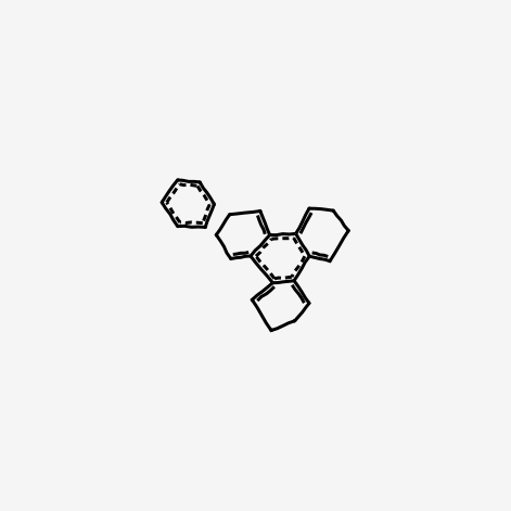 C1=c2c3c(c4c(c2=CCC1)=CCCC=4)=CCCC=3.c1ccccc1